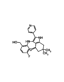 CC1(C)CC(=O)c2c([nH]c(-c3ccncc3)c2Nc2cc(F)ccc2CO)C1